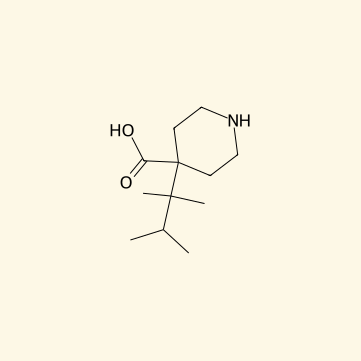 CC(C)C(C)(C)C1(C(=O)O)CCNCC1